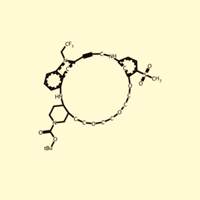 CC(C)(C)OC(=O)N1CCC2Nc3cccc4c3cc(n4CC(F)(F)F)C#CCNc3ccc(S(C)(=O)=O)c(c3)OCCOCCOCCC2C1